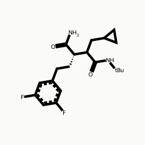 CC(C)(C)NC(=O)C(CC1CC1)[C@H](CCc1cc(F)cc(F)c1)C(N)=O